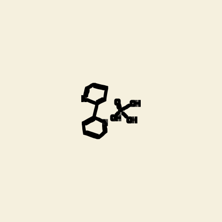 O=P(O)(O)O.c1ccc(-c2ccccn2)nc1